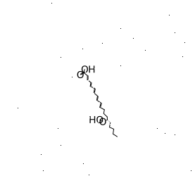 CCCCC[C@@H](CCCC=CC=CC=CC=CC=CC(=O)O)OO